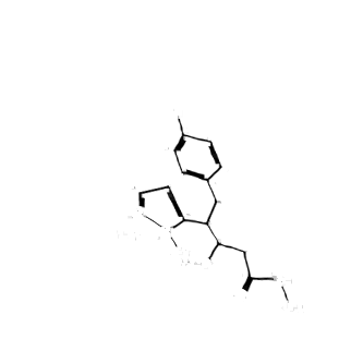 COC(CC(=O)NO)C(Cc1ccc(Cl)cc1)c1ccnn1C(C)C.Cl